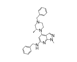 C[C@H]1CN(Cc2ccccc2)CCN1c1cc(NCc2ccccc2)nc2c1cnn2C